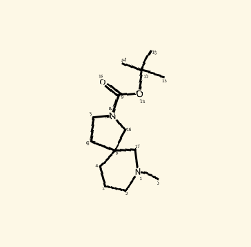 CN1CCCC2(CCN(C(=O)OC(C)(C)C)C2)C1